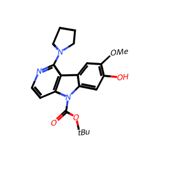 COc1cc2c3c(N4CCCC4)nccc3n(C(=O)OC(C)(C)C)c2cc1O